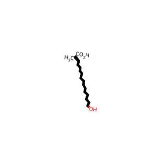 CC(=CCCCCCCCCCCCCCO)C(=O)O